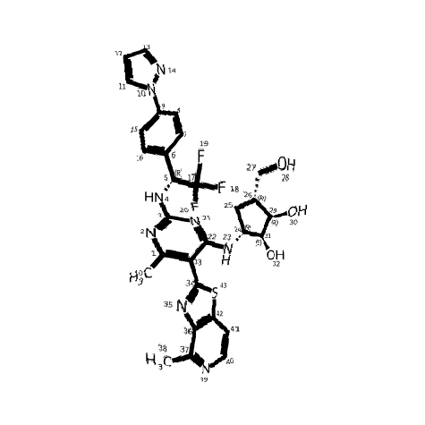 Cc1nc(N[C@H](c2ccc(-n3cccn3)cc2)C(F)(F)F)nc(N[C@@H]2C[C@H](CO)[C@@H](O)[C@H]2O)c1-c1nc2c(C)nccc2s1